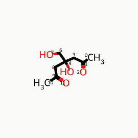 CC(=O)CC(O)(CO)CC(C)=O